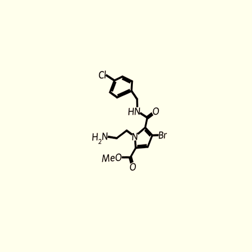 COC(=O)c1cc(Br)c(C(=O)NCc2ccc(Cl)cc2)n1CCN